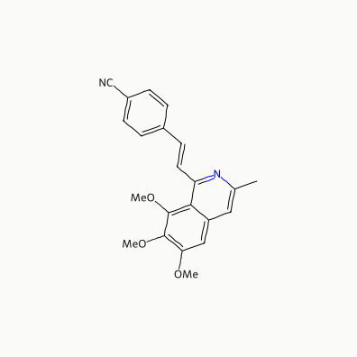 COc1cc2cc(C)nc(C=Cc3ccc(C#N)cc3)c2c(OC)c1OC